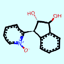 [O-][n+]1ccccc1[C@@H]1c2ccccc2C(O)[C@H]1O